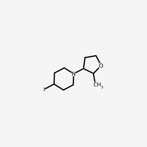 CC1OCCC1N1CCC(I)CC1